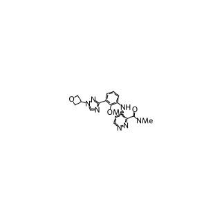 CNC(=O)c1nnccc1Nc1cccc(-c2ncn(C3COC3)n2)c1OC